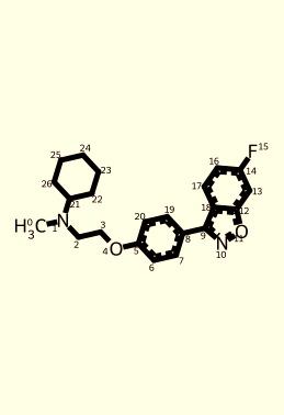 CN(CCOc1ccc(-c2noc3cc(F)ccc23)cc1)C1CCCCC1